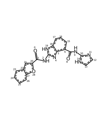 O=C(Nc1nc2c(C(=O)Nc3ncc[nH]3)cccc2[nH]1)c1cc2ccccc2o1